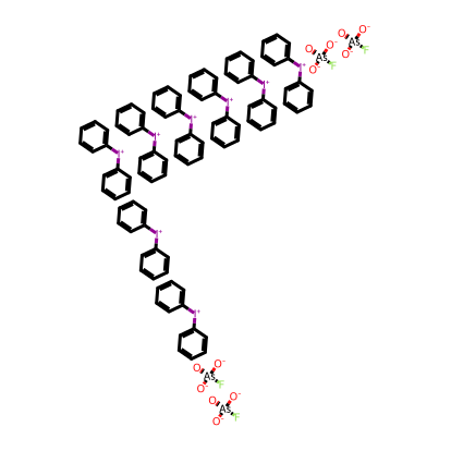 O=[As]([O-])([O-])F.O=[As]([O-])([O-])F.O=[As]([O-])([O-])F.O=[As]([O-])([O-])F.c1ccc([I+]c2ccccc2)cc1.c1ccc([I+]c2ccccc2)cc1.c1ccc([I+]c2ccccc2)cc1.c1ccc([I+]c2ccccc2)cc1.c1ccc([I+]c2ccccc2)cc1.c1ccc([I+]c2ccccc2)cc1.c1ccc([I+]c2ccccc2)cc1.c1ccc([I+]c2ccccc2)cc1